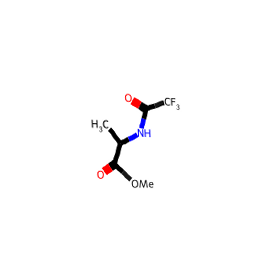 COC(=O)C(C)NC(=O)C(F)(F)F